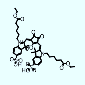 CCOC(=O)CCCCCN1/C(=C/C2=C(O)C(=C\C3=[N+](CCCCCC(=O)OCC)c4ccc(S(=O)(=O)O)cc4C3(C)C)/C(=O)C2=O)C(C)(C)c2cc(S(=O)(=O)O)ccc21